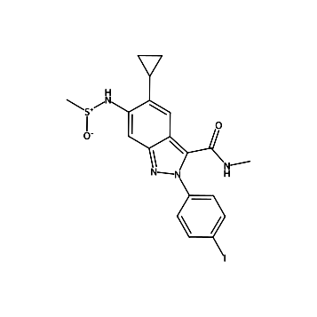 CNC(=O)c1c2cc(C3CC3)c(N[S+](C)[O-])cc2nn1-c1ccc(I)cc1